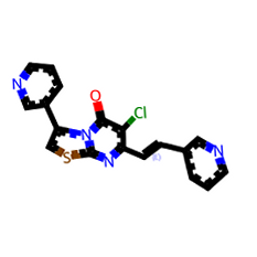 O=c1c(Cl)c(/C=C/c2cccnc2)nc2scc(-c3cccnc3)n12